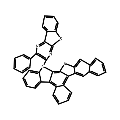 c1ccc(-c2nc3c(nc2-n2c4ccccc4c4c5ccccc5c5c6cc7ccccc7cc6sc5c42)sc2ccccc23)cc1